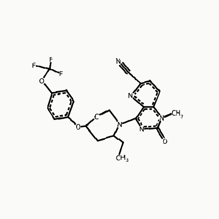 CCC1CC(Oc2ccc(OC(F)(F)F)cc2)CCN1c1nc(=O)n(C)c2ccc(C#N)nc12